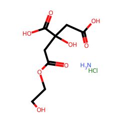 Cl.N.O=C(O)CC(O)(CC(=O)OCCO)C(=O)O